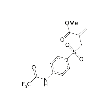 C=C(CS(=O)(=O)c1ccc(NC(=O)C(F)(F)F)cc1)C(=O)OC